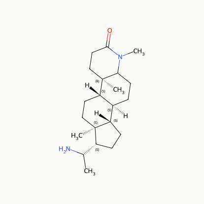 CC(N)[C@H]1CC[C@H]2[C@@H]3CCC4N(C)C(=O)CC[C@]4(C)[C@H]3CC[C@]12C